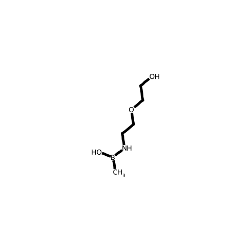 CB(O)NCCOCCO